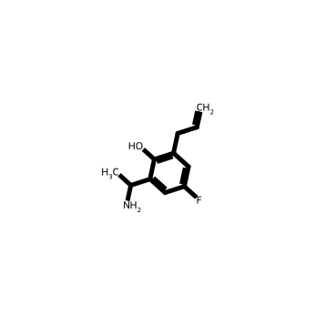 C=CCc1cc(F)cc(C(C)N)c1O